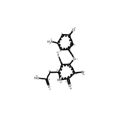 Nc1cc(Cl)cc(Oc2c(F)c(CC(=O)O)[nH]c(=O)c2Br)c1